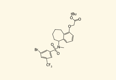 CN(C1CCCCc2c(OCC(=O)OC(C)(C)C)cccc21)S(=O)(=O)c1cc(Br)cc(C(F)(F)F)c1